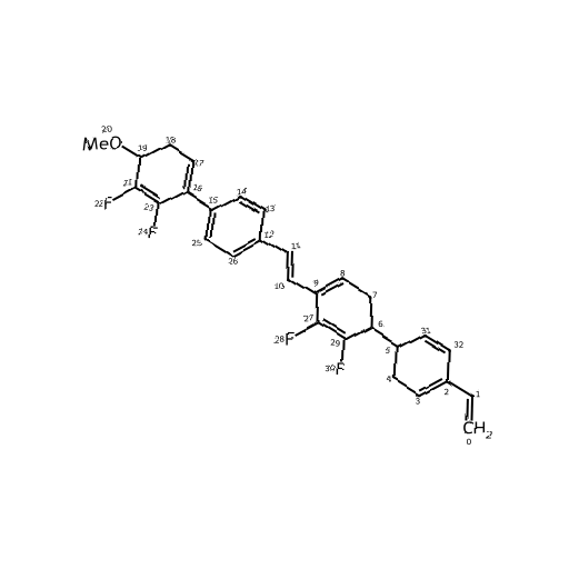 C=CC1=CCC(C2CC=C(/C=C/c3ccc(C4=CCC(OC)C(F)=C4F)cc3)C(F)=C2F)C=C1